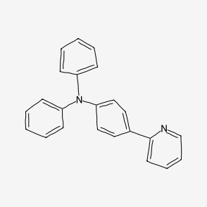 c1ccc(N(c2ccccc2)c2ccc(-c3ccccn3)cc2)cc1